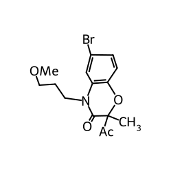 COCCCN1C(=O)C(C)(C(C)=O)Oc2ccc(Br)cc21